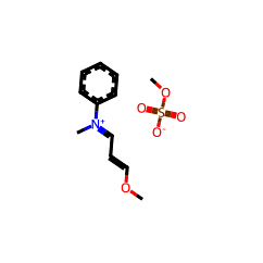 COC=CC=[N+](C)c1ccccc1.COS(=O)(=O)[O-]